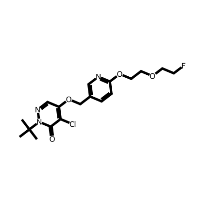 CC(C)(C)n1ncc(OCc2ccc(OCCOCCF)nc2)c(Cl)c1=O